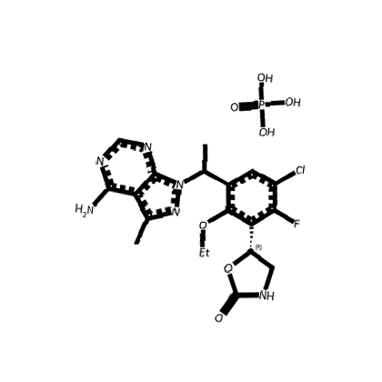 CCOc1c(C(C)n2nc(C)c3c(N)ncnc32)cc(Cl)c(F)c1[C@@H]1CNC(=O)O1.O=P(O)(O)O